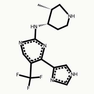 C[C@@H]1CNCC[C@@H]1Nc1ncc(C(F)(F)F)c(-c2c[nH]cn2)n1